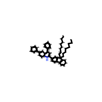 CCCCCCCCC1(CCCCCCCC)C2=C(C=CCC2)c2ccc(C3=CC(c4ccccc4)=C4C=C(c5ccccc5)C=CC4N3)cc21